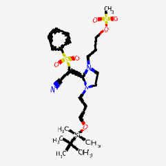 CC(C)(C)[Si](C)(C)OCCCN1CCN(CCCOS(C)(=O)=O)C1=C(C#N)S(=O)(=O)c1ccccc1